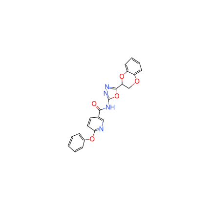 O=C(Nc1nnc(C2COc3ccccc3O2)o1)c1ccc(Oc2ccccc2)nc1